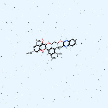 COc1cc(OC)c2c(=O)c(OCCCOc3nc4ccccc4nc3C)c(-c3cc(OC)c(OC)c(OC)c3)oc2c1